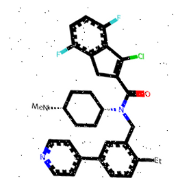 CCc1ccc(-c2ccncc2)cc1CN(C(=O)C1=C(Cl)c2c(F)ccc(F)c2C1)[C@H]1CC[C@@H](NC)CC1